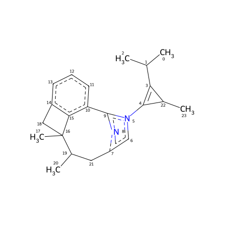 CC(C)C1=C(n2cc3nc2-c2cccc4c2C(C)(C4)C(C)C3)C1C